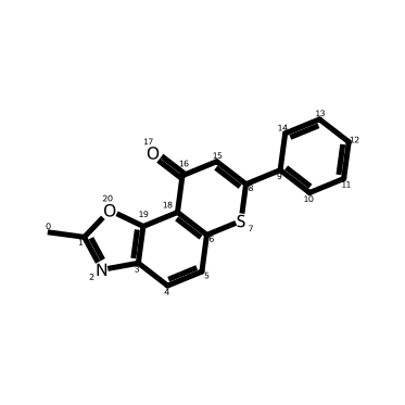 Cc1nc2ccc3sc(-c4ccccc4)cc(=O)c3c2o1